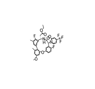 CCOC(=O)C[C@@H]1NC(=O)[C@@H](n2ccc(C(F)(F)F)cc2=O)c2cc(ccc2F)Oc2cc(OC)cc(C)c2-c2cc(C)c(F)c1c2